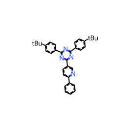 CC(C)(C)c1ccc(-c2nc(-c3ccc(C(C)(C)C)cc3)nc(-c3ccc(-c4ccccc4)nc3)n2)cc1